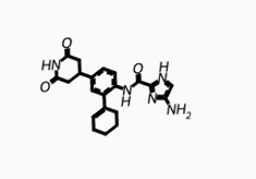 Nc1c[nH]c(C(=O)Nc2ccc(C3CC(=O)NC(=O)C3)cc2C2=CCCCC2)n1